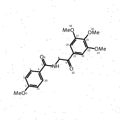 COc1ccc(C(=O)NCC(=O)c2cc(OC)c(OC)c(OC)c2)cc1